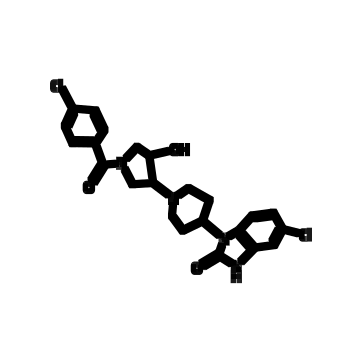 O=C(c1ccc(Cl)cc1)N1CC(O)C(N2CCC(n3c(=O)[nH]c4cc(Cl)ccc43)CC2)C1